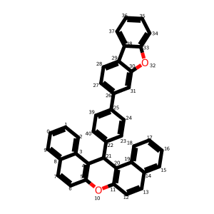 c1ccc2c3c(ccc2c1)Oc1ccc2ccccc2c1C3c1ccc(-c2ccc3c(c2)oc2ccccc23)cc1